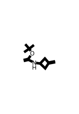 C=C1CC(NC(=C)OC(C)(C)C)C1